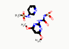 COc1cc(OC)nc(NC(=O)N=S(=O)=O)n1.CS(=O)(=O)Nc1cccnc1